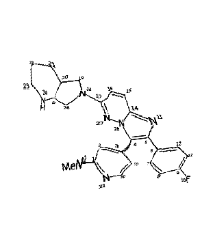 CNc1cc(-c2c(-c3ccc(F)cc3)nc3ccc(N4CC5CCCNC5C4)nn23)ccn1